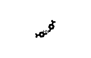 C=C(C)c1ccc(CNCc2ccc(C(=C)C)cc2)cc1